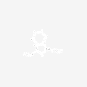 O=Cc1cn(C(=O)O)c2ccccc12